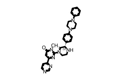 Cn1c(N2CCN[C@@H](c3ccc(N4CCN(c5ccccc5)CC4)cc3)C2)nc(-c2ccncn2)cc1=O